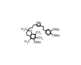 COc1ccc(CCc2cc(CCCC3(C)CCc4c(C)c(OC)c(C)c(C)c4O3)on2)cc1OC